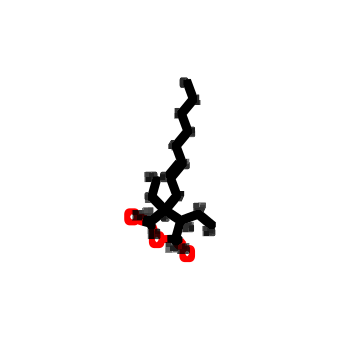 CCCCCC=CCC1(CC)C(=O)OC(=O)C1CC